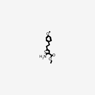 CCOC(=O)c1cc(CCc2ccc(OC)cc2)sc1N